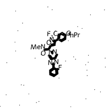 CCCOc1ccc(-c2cc(C(C(=O)NC)n3cc4nc(-c5ccccc5F)nc-4cn3)on2)c(C(F)(F)F)c1